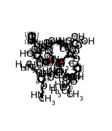 CNCCOc1ccc(OCCNC)c(NC(=O)NC(=O)C[C@@H]2NC(=O)[C@H](NC(=O)[C@@H](CC(C)C)NC)[C@H](O)c3ccc(c(C)c3)Oc3cc4cc(c3O[C@@H]3O[C@H](CO)[C@@H](O)[C@H](O)[C@H]3O)Oc3ccc(cc3Cl)[C@@H](O)[C@@H]3NC(=O)[C@H](NC(=O)[C@@H]4NC2=O)c2ccc(O)c(c2)-c2c(C)cc(O)cc2[C@@H](C(=O)NC2C4CC5CC(C4)CC2C5)NC3=O)c1